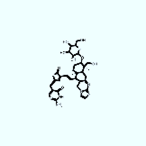 C[C@]12CC[C@@H](OC3OC(CO)C(O)C(O)C3O)[C@@](C)(CO)C1CC1=Nc3nccn3CC1C2/C=C/C1=CC(=C\c2cnc(N)[nH]c2=O)/OC1=O